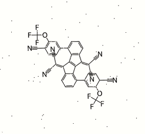 N#CC(C#N)=C1C2=C(C(=C(C#N)C#N)c3cccc(-c4ccc(C#N)c(OC(F)(F)F)c4)c32)c2c(C3=CC(OC(F)(F)F)C(C#N)C=C3)cccc21